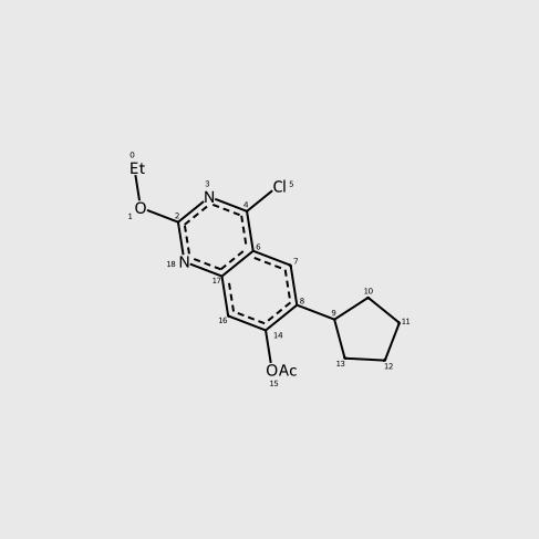 CCOc1nc(Cl)c2cc(C3CCCC3)c(OC(C)=O)cc2n1